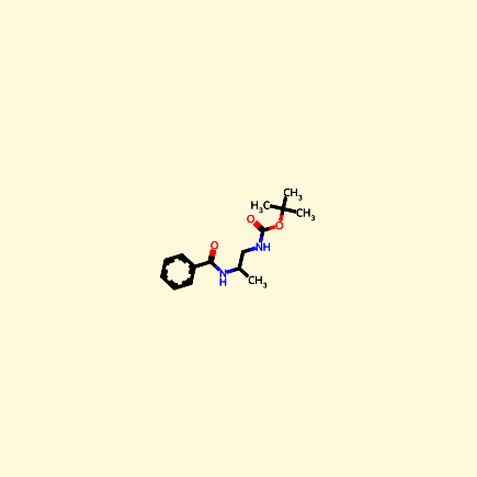 CC(CNC(=O)OC(C)(C)C)NC(=O)c1ccccc1